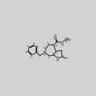 CC1CC2C(CN(Cc3ccccc3)CCN2C(=O)OC(C)(C)C)O1